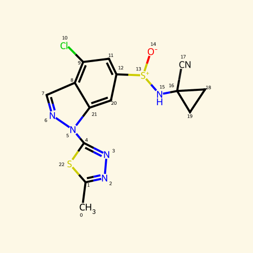 Cc1nnc(-n2ncc3c(Cl)cc([S+]([O-])NC4(C#N)CC4)cc32)s1